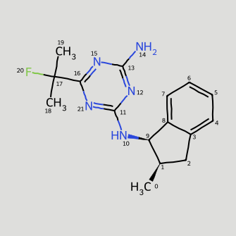 C[C@@H]1Cc2ccccc2[C@@H]1Nc1nc(N)nc(C(C)(C)F)n1